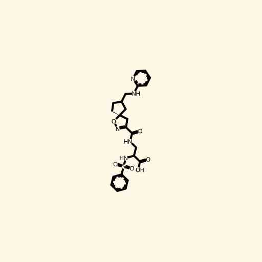 O=C(NCC(NS(=O)(=O)c1ccccc1)C(=O)O)C1=NO[C@]2(CCC(CNc3ccccn3)C2)C1